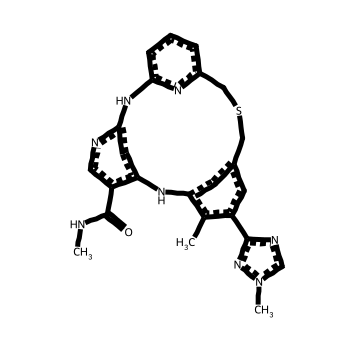 CNC(=O)c1cnc2cc1Nc1cc(cc(-c3ncn(C)n3)c1C)CSCc1cccc(n1)N2